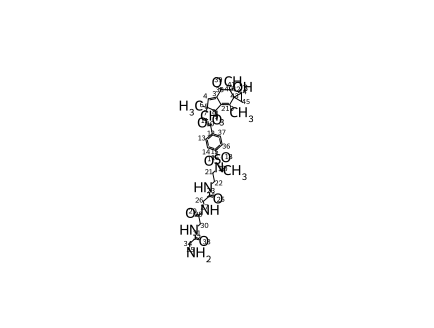 CC1=C2C(=CC(C)(C)C2OC(=O)c2ccc(S(=O)(=O)N(C)CCNC(=O)CNC(=O)CNC(=O)CN)cc2)C(=O)C(C)(O)C12CC2